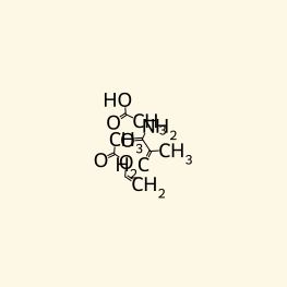 C=C(C)C(N)=O.C=COC(C)=O.CC(=O)O